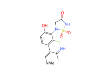 CN/C=C(\C(C)=N)c1ccc(O)c(N2CC(=O)NS2(=O)=O)c1F